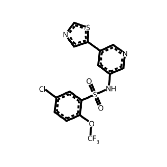 O=S(=O)(Nc1cncc(-c2cncs2)c1)c1cc(Cl)ccc1OC(F)(F)F